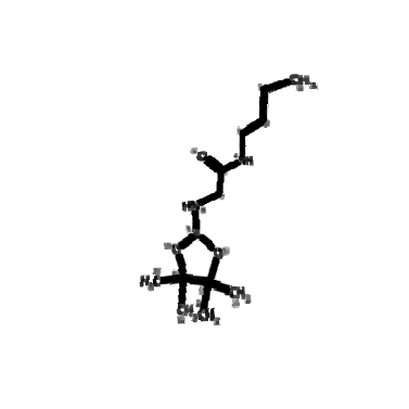 CCCCNC(=O)CNB1OC(C)(C)C(C)(C)O1